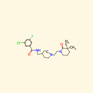 CC1(C)CCCN(CCN2CCC(CNC(=O)c3cc(F)cc(Cl)c3)CC2)C1=O